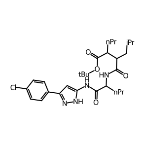 CCCC(NC(=O)C(CC(C)C)C(CCC)C(=O)OC(C)(C)C)C(=O)Nc1cc(-c2ccc(Cl)cc2)n[nH]1